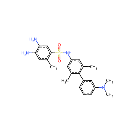 Cc1cc(N)c(N)cc1S(=O)(=O)Nc1cc(C)c(-c2cccc(N(C)C)c2)c(C)c1